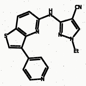 CCn1cc(C#N)c(Nc2ccc3scc(-c4ccncc4)c3n2)n1